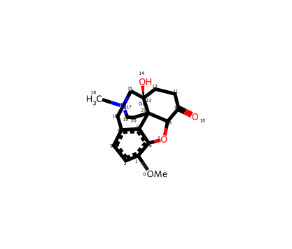 COc1ccc2c3c1OC1C(=O)CC[C@@]4(O)C(C2)N(C)CCC314